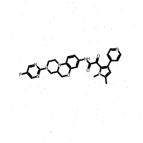 Cc1cc(-c2ccncc2)c(C(=O)C(=O)Nc2ccc3c(c2)OCC2CN(c4ncc(F)cn4)CCN32)n1C